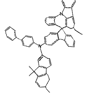 CC1C=CC2=C(C1)c1ccc(N(c3ccc(-c4ccccc4)cc3)c3ccc4c(c3)-c3ccccc3C43C4=c5c(c6ccccc6n5-c5ccccc53)=CC(C)C4)cc1C2(C)C